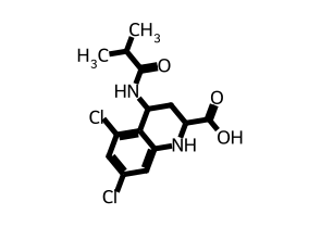 CC(C)C(=O)NC1CC(C(=O)O)Nc2cc(Cl)cc(Cl)c21